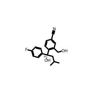 CC(C)C[C@@](O)(c1ccc(F)cc1)c1ccc(C#N)cc1CO